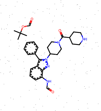 CC(C)(C)OC=O.O=CNc1cccc2c(-c3ccccc3)n(C3CCN(C(=O)C4CCNCC4)CC3)nc12